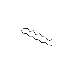 [CH2]CCCCCCCCC.[CH2]CCCCCCCCCC